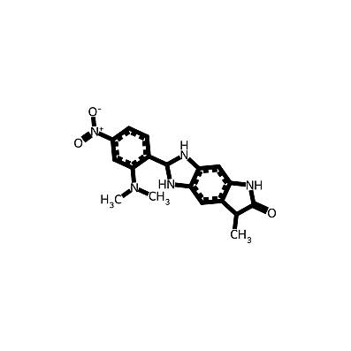 CC1C(=O)Nc2cc3c(cc21)NC(c1ccc([N+](=O)[O-])cc1N(C)C)N3